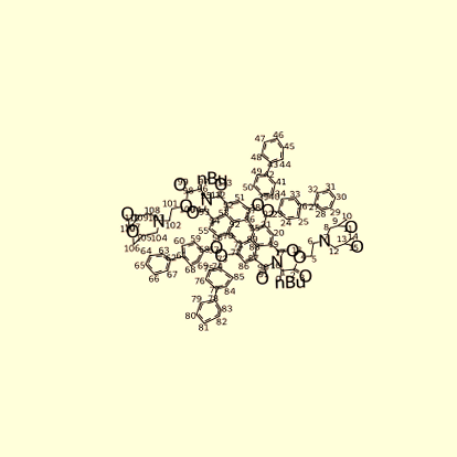 CCCCC(C(=O)OCCN(CC1CO1)CC1CO1)N1C(=O)c2cc(Oc3ccc(-c4ccccc4)cc3)c3c4c(Oc5ccc(-c6ccccc6)cc5)cc5c6c(cc(Oc7ccc(-c8ccccc8)cc7)c(c7c(Oc8ccc(-c9ccccc9)cc8)cc(c2c37)C1=O)c64)C(=O)N(C(CCCC)C(=O)OCCN(CC1CO1)CC1CO1)C5=O